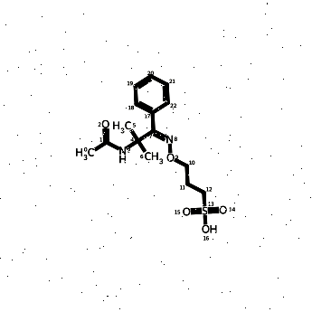 CC(=O)NC(C)(C)C(=NOCCCS(=O)(=O)O)c1ccccc1